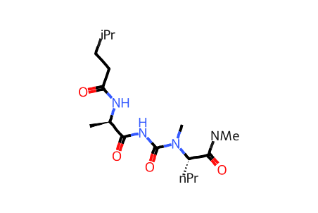 CCC[C@@H](C(=O)NC)N(C)C(=O)NC(=O)[C@@H](C)NC(=O)CCC(C)C